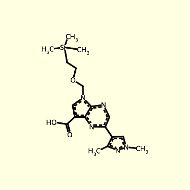 Cc1nn(C)cc1-c1cnc2c(n1)c(C(=O)O)cn2COCC[Si](C)(C)C